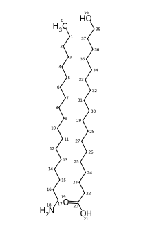 CCCCCCCCCCCCCCCCCCN.O=C(O)CCCCCCCCCCCCCCCCCO